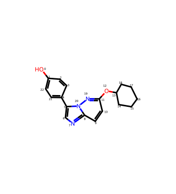 Oc1ccc(-c2cnc3ccc(OC4CCCCC4)nn23)cc1